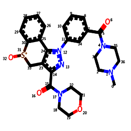 CN1CCN(C(=O)c2cccc(-n3nc(C(=O)N4CCOCC4)c4c3-c3ccccc3[S+]([O-])C4)c2)CC1